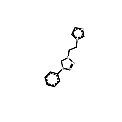 [c]1cccc(N2CN(CCn3ccnc3)N=N2)c1